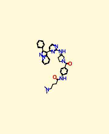 CN(C)CCCC(=O)Nc1ccc(C(=O)N2CC[C@@H](Nc3nccc(-c4c(-c5ccccc5)nn5ccccc45)n3)C2)cc1